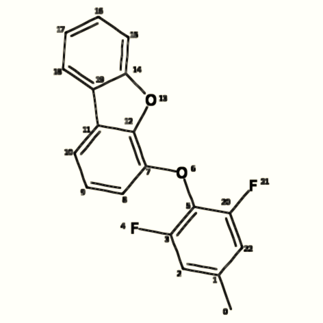 Cc1cc(F)c(Oc2cccc3c2oc2ccccc23)c(F)c1